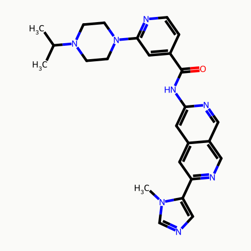 CC(C)N1CCN(c2cc(C(=O)Nc3cc4cc(-c5cncn5C)ncc4cn3)ccn2)CC1